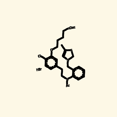 Br.CCCCCCCCCCCCCCOc1cc(CCN(C(C)=O)c2ccccc2CN2C=C(C)SC2)ccc1Cl